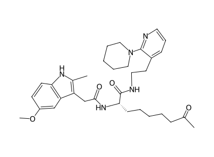 COc1ccc2[nH]c(C)c(CC(=O)N[C@@H](CCCCCC(C)=O)C(=O)NCCc3cccnc3N3CCCCC3)c2c1